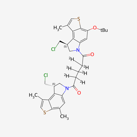 [2H]C([2H])(C(=O)N1C[C@@H](CCl)c2c1cc(C)c1scc(C)c21)C([2H])([2H])C([2H])([2H])C(=O)N1C[C@@H](CCl)c2c1cc(OC(C)(C)C)c1scc(C)c21